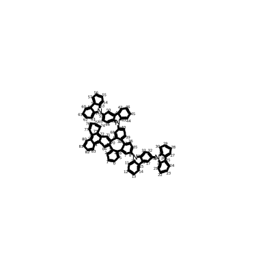 c1ccc2c(c1)-c1cc(-n3c4ccccc4c4cc(-n5c6ccccc6c6ccccc65)ccc43)ccc1-c1ccc(-n3c4ccccc4c4cc(-n5c6ccccc6c6ccccc65)ccc43)cc1-c1cc3c4ccccc4c4ccccc4c3cc1-2